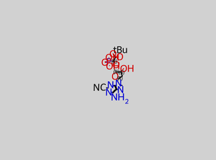 CC(C)(C)OC(=O)[C@H](OC[C@H]1O[C@@H](n2cnc3c(N)nc(C#N)nc32)C[C@@H]1O)P(=O)(O)O